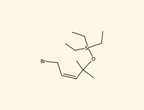 CC[Si](CC)(CC)OC(C)(C)/C=C\CBr